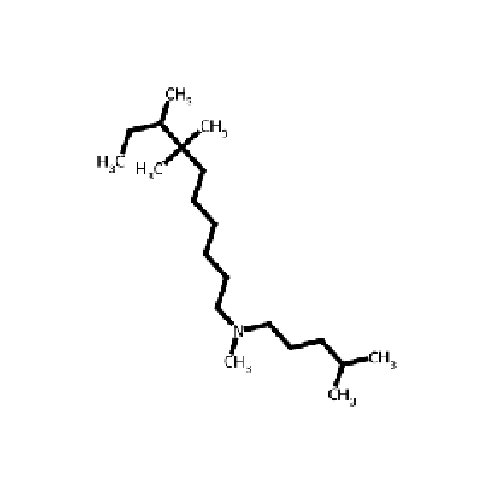 CCC(C)C(C)(C)CCCCCCN(C)CCCC(C)C